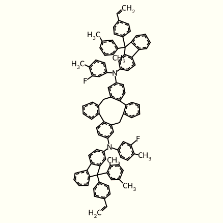 C=Cc1ccc(C2(c3cc(C)ccc3C)c3ccccc3-c3ccc(N(c4ccc(C)c(F)c4)c4ccc5c(c4)Cc4ccccc4-c4ccc(N(c6ccc(C)c(F)c6)c6ccc7c(c6)C(c6ccc(C=C)cc6)(c6cc(C)ccc6C)c6ccccc6-7)cc4Cc4ccccc4-5)cc32)cc1